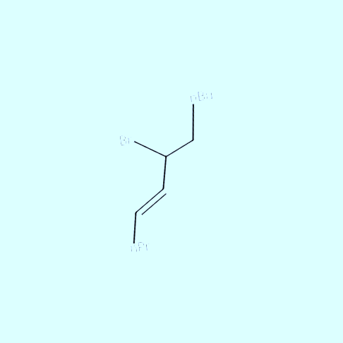 CCCC=CC(Br)CCCCC